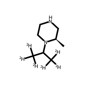 [2H]C([2H])([2H])C(N1CCNC[C@H]1C)C([2H])([2H])[2H]